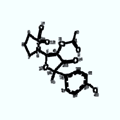 CC(=O)OC1=C(N2CCCS2(=O)=O)OC(C)(c2ccc(Cl)cc2)C1=O